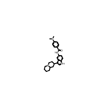 CN(C)c1ccc(C(=O)Nc2ccc3[nH]cc(C4CCN5CCCCC5C4)c3c2)cc1